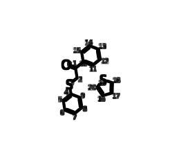 O=C(CSc1ccccc1)c1ccccc1.c1ccsc1